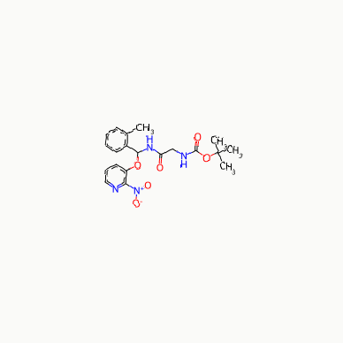 Cc1ccccc1C(NC(=O)CNC(=O)OC(C)(C)C)Oc1cccnc1[N+](=O)[O-]